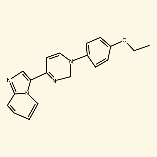 CCOc1ccc(N2C=CC(c3cnc4ccccn34)=NC2)cc1